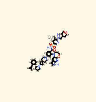 O=C(NS(=O)(=O)c1cnc(NCC2CCOCC2)c([N+](=O)[O-])c1)c1ccc(N2CCC3(CC2)CC(N2CCC[C@@H]2c2ccccc2C2CC2)C3)cc1N1CCCOc2nc3[nH]ccc3cc21